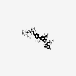 Cc1c(-c2ccc(CCN(C)C(=O)OC(C)(C)C)cc2)cc(C(F)(F)F)c2cn(C(C(=O)O)c3ncn4c3CC(F)C4)nc12